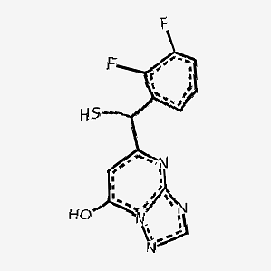 Oc1cc(C(S)c2cccc(F)c2F)nc2ncnn12